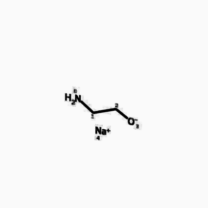 NCC[O-].[Na+]